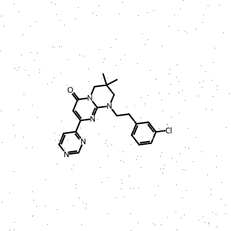 CC1(C)CN(CCc2cccc(Cl)c2)c2nc(-c3ccncn3)cc(=O)n2C1